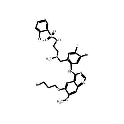 COc1cc2ncnc(Nc3cc(Br)c(F)cc3CN(C)CCNS(=O)(=O)c3ccccc3C)c2cc1OCCCBr